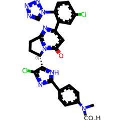 CN(C(=O)O)c1ccc(-c2nc(Cl)c([C@@H]3CCc4nc(-c5cc(Cl)ccc5-n5cnnn5)cc(=O)n43)[nH]2)cc1